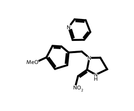 COc1ccc(CN2CCNC2=C[N+](=O)[O-])cc1.c1ccncc1